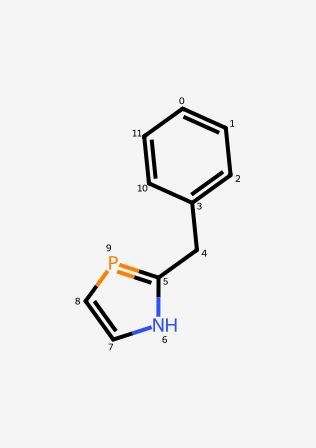 c1ccc(Cc2[nH]ccp2)cc1